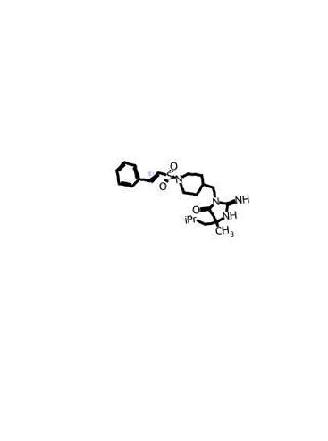 CC(C)CC1(C)NC(=N)N(CC2CCN(S(=O)(=O)/C=C/c3ccccc3)CC2)C1=O